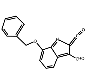 O=C=C1N=c2c(OCc3ccccc3)cccc2=C1C=O